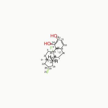 C[C@]12CC[C@@]3(F)[C@@H](CCC4C=CC(O)=C(O)[C@@]43C)[C@@H]1C[C@@H](F)C2